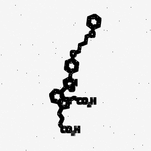 O=C(O)CCCc1cn(CC(=O)O)c2c(-c3cc(-c4ccc(OCCCCOc5ccccc5)cc4)no3)cccc12